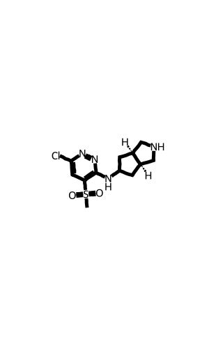 CS(=O)(=O)c1cc(Cl)nnc1NC1C[C@H]2CNC[C@H]2C1